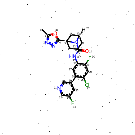 Cc1nnc([C@@]23C[C@@H](C)C[C@@H](C2)N3C(=O)Nc2cc(-c3cncc(F)c3)c(Cl)cc2F)o1